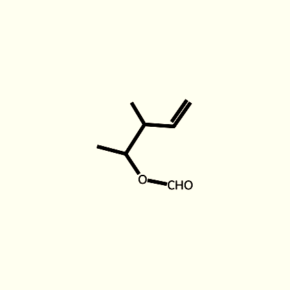 C=CC(C)C(C)OC=O